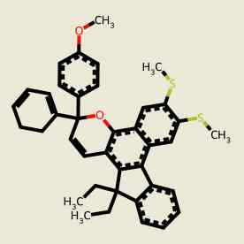 CCC1(CC)c2ccccc2-c2c1c1c(c3cc(SC)c(SC)cc23)OC(C2=CC=CCC2)(c2ccc(OC)cc2)C=C1